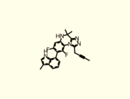 CC#CCc1nnc2n1-c1c(cc(F)c(-c3cccc4c(C)c[nH]c34)c1F)NC2(C)C